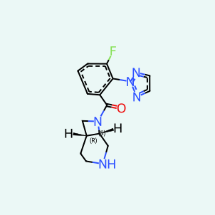 O=C(c1cccc(F)c1-n1nccn1)N1C[C@H]2CCNC[C@H]21